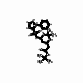 CC(C)(C)OC(=O)CC1CC(CS(=O)(=O)c2nnnn2-c2ccccc2)OC(C)(C)O1